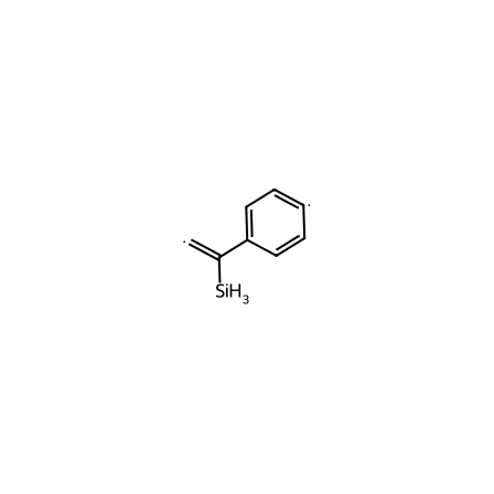 [CH]=C([SiH3])c1cc[c]cc1